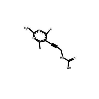 Cc1nc(N)nc(Cl)c1C#CCNC(=O)O